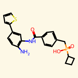 Nc1ccc(-c2cccs2)cc1NC(=O)c1ccc(CP(=O)(O)C2CCC2)cc1